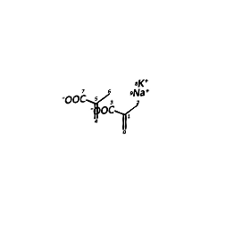 C=C(C)C(=O)[O-].C=C(C)C(=O)[O-].[K+].[Na+]